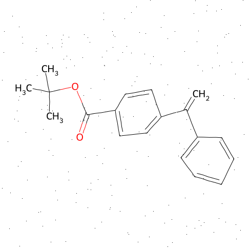 C=C(c1ccccc1)c1ccc(C(=O)OC(C)(C)C)cc1